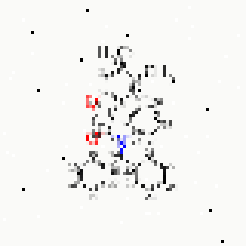 Cc1cc2c(cc1C)C1(CO2)C(=O)N(C(c2ccccc2)c2ccccc2)c2ccccc21